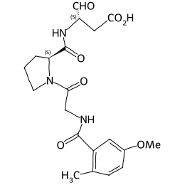 COc1ccc(C)c(C(=O)NCC(=O)N2CCC[C@H]2C(=O)N[C@H](C=O)CC(=O)O)c1